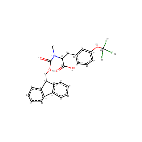 CN(C(=O)OCC1c2ccccc2-c2ccccc21)C(Cc1cccc(OC(F)(F)F)c1)C(=O)O